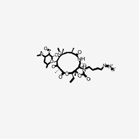 CC[C@H]1OC(=O)[C@H](C)C(=O)[C@@H](C)[C@@H](O[C@@H]2OC(C)CC(N(C)C)C2P=O)[C@](C)(OC)C[C@@H](C)C(=O)N[C@H](C)[C@H]2N(CCCCN=[N+]=[N-])C(=O)O[C@]12C